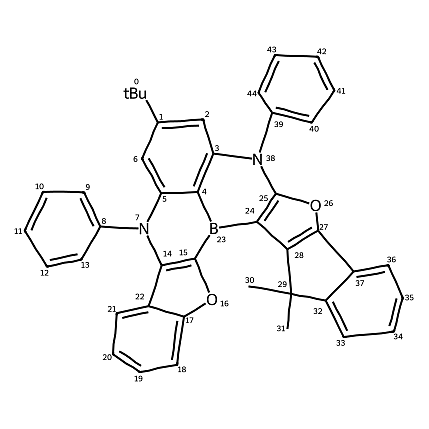 CC(C)(C)c1cc2c3c(c1)N(c1ccccc1)c1c(oc4ccccc14)B3c1c(oc3c1C(C)(C)c1ccccc1-3)N2c1ccccc1